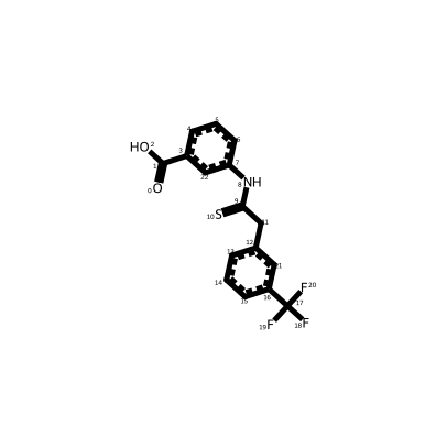 O=C(O)c1cccc(NC(=S)Cc2cccc(C(F)(F)F)c2)c1